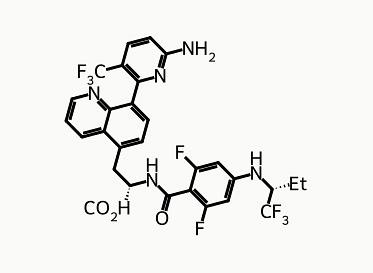 CC[C@@H](Nc1cc(F)c(C(=O)N[C@@H](Cc2ccc(-c3nc(N)ccc3C(F)(F)F)c3ncccc23)C(=O)O)c(F)c1)C(F)(F)F